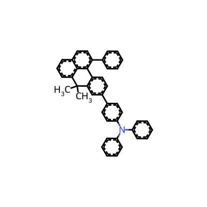 CC1(C)c2cc(-c3ccc(N(c4ccccc4)c4ccccc4)cc3)ccc2-c2c(-c3ccccc3)ccc3cccc1c23